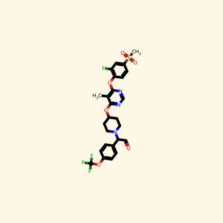 Cc1c(Oc2ccc(S(C)(=O)=O)cc2F)ncnc1OC1CCN(C(C=O)c2ccc(OC(F)(F)F)cc2)CC1